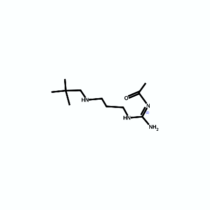 CC(=O)/N=C(/N)NCCCNCC(C)(C)C